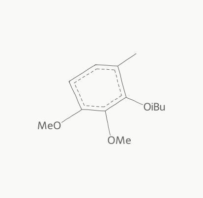 COc1ccc(C)c(OCC(C)C)c1OC